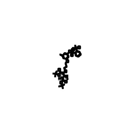 CN=C(NC(=O)OC(C)(C)C)N(OCCCOc1cc(C)cc(OS(=O)(=O)c2ccccc2S(C)(=O)=O)c1)C(=O)OC(C)(C)C